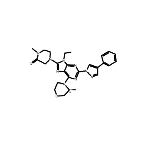 CCn1c(N2CCN(C)C(=O)C2)nc2c(N3CCOC[C@@H]3C)nc(-n3cc(-c4ccccc4)cn3)nc21